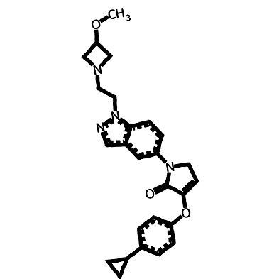 COC1CN(CCn2ncc3cc(N4CC=C(Oc5ccc(C6CC6)cc5)C4=O)ccc32)C1